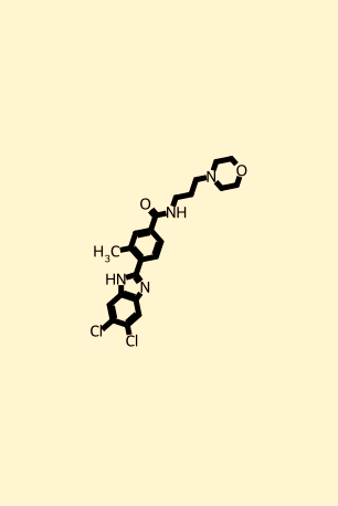 Cc1cc(C(=O)NCCCN2CCOCC2)ccc1-c1nc2cc(Cl)c(Cl)cc2[nH]1